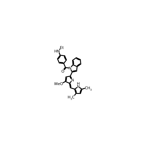 CCNc1ccc(C(=O)n2c(C3=N/C(=C\c4[nH]c(C)cc4C)C(OC)=C3)cc3ccccc32)cc1